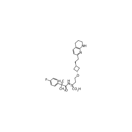 CC(C)(C(=O)N[C@@H](CCO[C@H]1C[C@H](CCc2ccc3c(n2)NCCC3)C1)C(=O)O)c1ccc(F)cc1